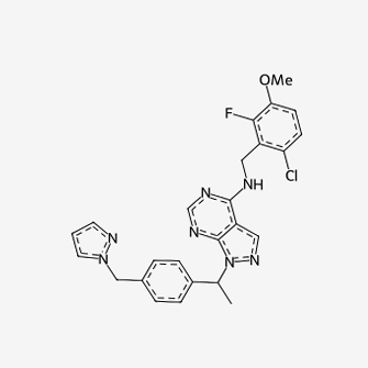 COc1ccc(Cl)c(CNc2ncnc3c2cnn3C(C)c2ccc(Cn3cccn3)cc2)c1F